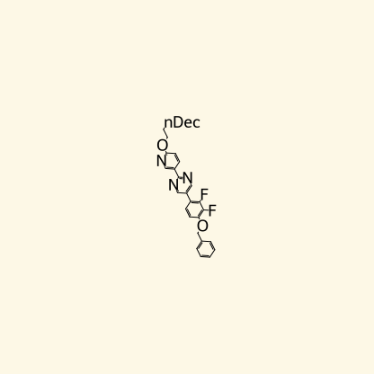 CCCCCCCCCCCCOc1ccc(-c2ncc(-c3ccc(OCc4ccccc4)c(F)c3F)cn2)cn1